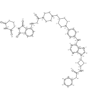 O=C1CC[C@H](N2C(=O)c3cccc(NCC(=O)N4CCN(CC5CCN(c6ccc(Nc7ncnc8c7ncn8C7CC(NC(=O)Cc8ccccc8)C7)cc6)CC5)CC4)c3C2=O)C(=O)N1